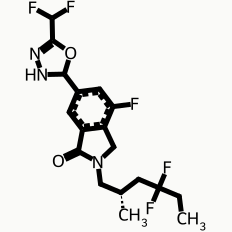 CCC(F)(F)C[C@H](C)CN1Cc2c(F)cc(C3NN=C(C(F)F)O3)cc2C1=O